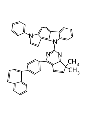 CC1(C)C=Cc2c(-c3ccc(-c4cccc5ccccc45)cc3)nc(-n3c4ccccc4c4ccc5c(ccn5-c5ccccc5)c43)nc21